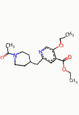 CCOC(=O)c1cc(CC2CCN(C(C)=O)CC2)ncc1OCC